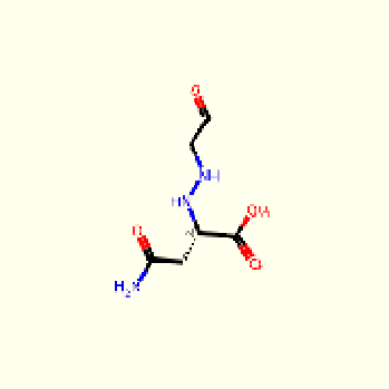 NC(=O)C[C@H](NNC[C]=O)C(=O)O